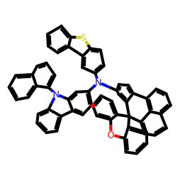 c1ccc2c(c1)Oc1ccccc1C21c2cc(N(c3ccc4sc5ccccc5c4c3)c3ccc4c5ccccc5n(-c5cccc6ccccc56)c4c3)ccc2-c2cccc3cccc1c23